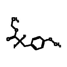 CCOC(=O)C(F)(F)Cc1ccc(OC)cc1